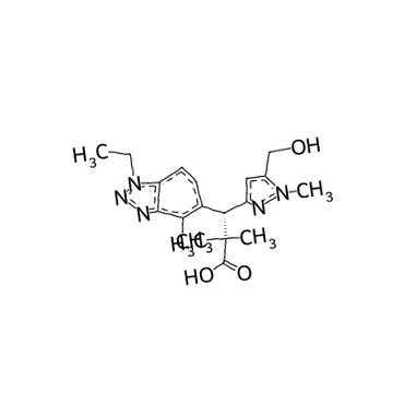 CCn1nnc2c(C)c([C@H](c3cc(CO)n(C)n3)C(C)(C)C(=O)O)ccc21